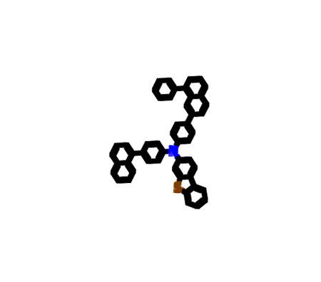 c1ccc(-c2cccc3ccc(-c4ccc(N(c5ccc(-c6cccc7ccccc67)cc5)c5ccc6c(c5)sc5ccccc56)cc4)cc23)cc1